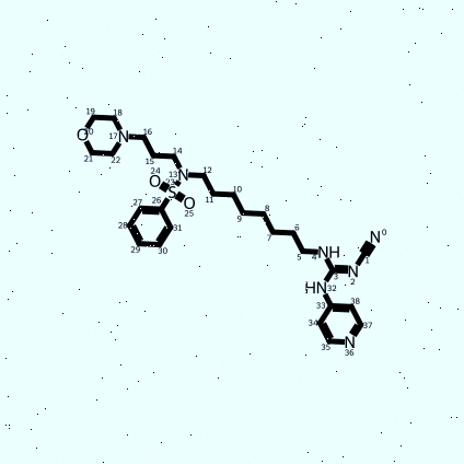 N#C/N=C(\NCCCCCCCCN(CCCN1CCOCC1)S(=O)(=O)c1ccccc1)Nc1ccncc1